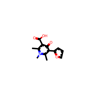 Cc1c(C(=O)O)c(=O)c(-c2ccco2)c(C)n1C